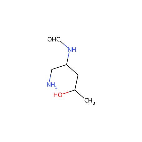 CC(O)CC(CN)NC=O